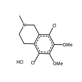 COc1c(Cl)c2c(c(Cl)c1OC)CN(C)CC2.Cl